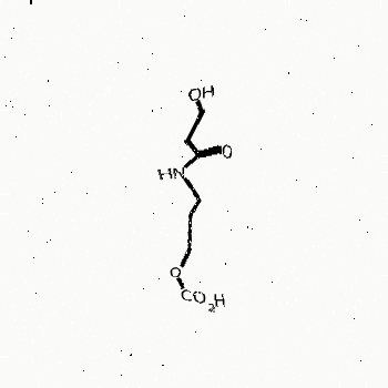 O=C(CCO)NCCCOC(=O)O